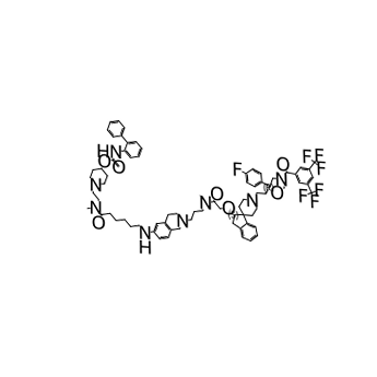 CN(CCN1CCC(OC(=O)Nc2ccccc2-c2ccccc2)CC1)C(=O)CCCCCNc1ccc2c(c1)CCN(CCCN(C)C(=O)CO[C@H]1Cc3ccccc3C13CCN(CC[C@@]1(c4ccc(F)cc4)CN(C(=O)c4cc(C(F)(F)F)cc(C(F)(F)F)c4)CO1)CC3)C2